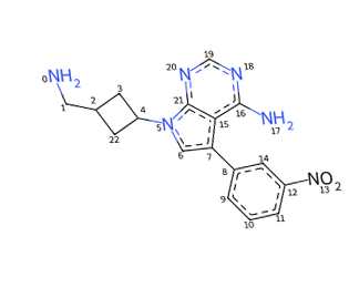 NCC1CC(n2cc(-c3cccc([N+](=O)[O-])c3)c3c(N)ncnc32)C1